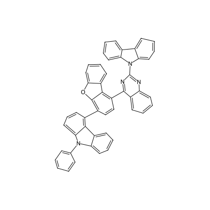 c1ccc(-n2c3ccccc3c3c(-c4ccc(-c5nc(-n6c7ccccc7c7ccccc76)nc6ccccc56)c5c4oc4ccccc45)cccc32)cc1